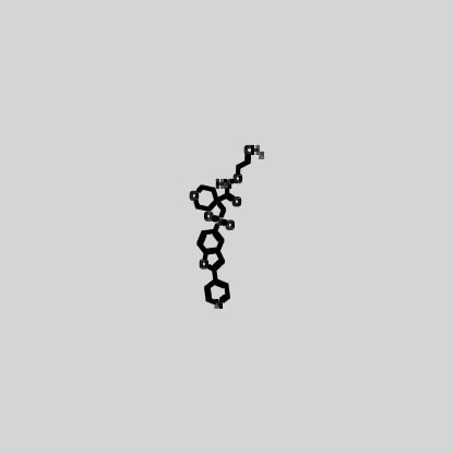 C=CCONC(=O)C1(CS(=O)(=O)c2ccc3oc(-c4ccncc4)cc3c2)CCOCC1